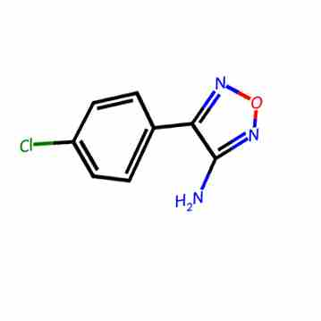 Nc1nonc1-c1ccc(Cl)cc1